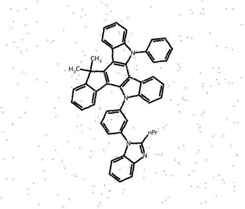 CCCc1nc2ccccc2n1-c1cccc(-n2c3ccccc3c3c2c2c(c4c5ccccc5n(-c5ccccc5)c43)C(C)(C)c3ccccc3-2)c1